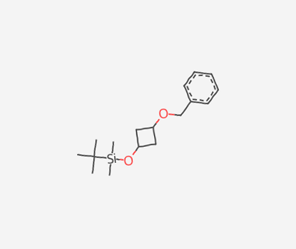 CC(C)(C)[Si](C)(C)OC1CC(OCc2ccccc2)C1